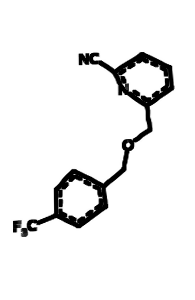 N#Cc1cccc(COCc2ccc(C(F)(F)F)cc2)n1